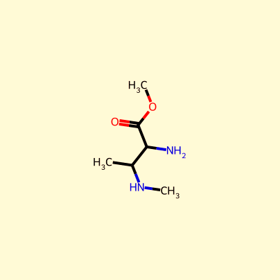 CNC(C)C(N)C(=O)OC